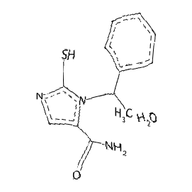 CC(c1ccccc1)n1c(C(N)=O)cnc1S.O